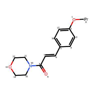 CC(C)Oc1ccc(/C=C/C(=O)N2CCOCC2)cc1